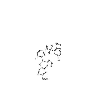 CNc1ncc2cc(-c3cc(NS(=O)(=O)c4cc(Cl)cnc4OC)ccc3F)c3nncn3c2n1